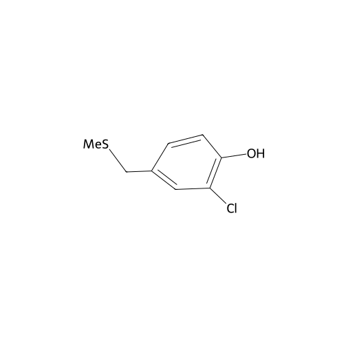 CSCc1ccc(O)c(Cl)c1